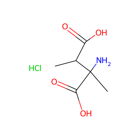 CC(C(=O)O)C(C)(N)C(=O)O.Cl